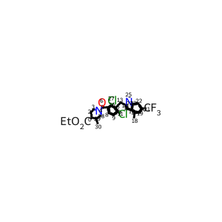 CCOC(=O)C1CCN(C(=O)c2ccc(Cl)c(Cc3cc4c(C)cc(C(F)(F)F)cc4n3C)c2Cl)CC1C